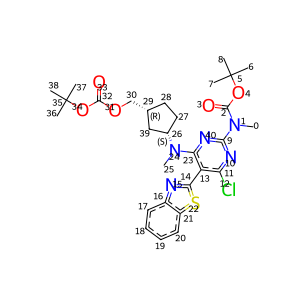 CN(C(=O)OC(C)(C)C)c1nc(Cl)c(-c2nc3ccccc3s2)c(N(C)[C@H]2CC[C@@H](COC(=O)OC(C)(C)C)C2)n1